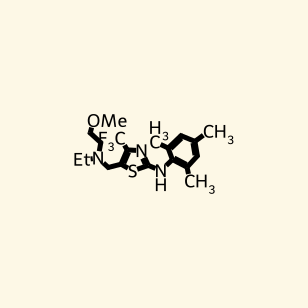 CCN(CCOC)Cc1sc(Nc2c(C)cc(C)cc2C)nc1C(F)(F)F